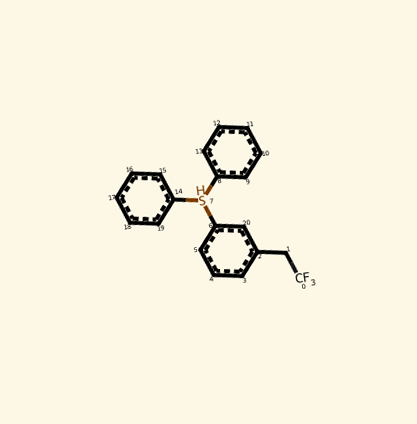 FC(F)(F)Cc1cccc([SH](c2ccccc2)c2ccccc2)c1